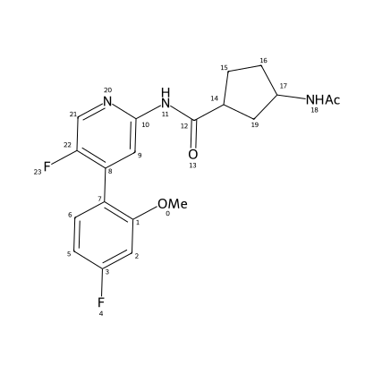 COc1cc(F)ccc1-c1cc(NC(=O)C2CCC(NC(C)=O)C2)ncc1F